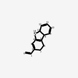 C=CC1=CC2=C(CC1)C1C=CC=CC1S2